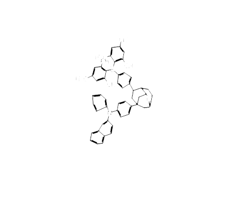 Cc1cc(C)c(B(c2ccc(C3CC4(c5ccc(N(c6ccccc6)c6ccc7ccccc7c6)cc5)CC5CCC3C(C5)C4)cc2)c2c(C)cc(C)cc2C)c(C)c1